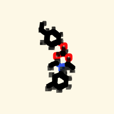 CCc1ccc(OC(=O)OC(C)N(CC)c2cccc(C)c2)cc1